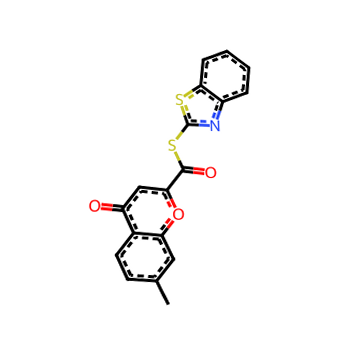 Cc1ccc2c(=O)cc(C(=O)Sc3nc4ccccc4s3)oc2c1